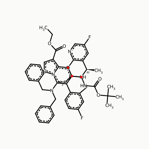 CCOC(=O)c1cnn2c(N(Cc3ccccc3)Cc3ccccc3)c(-c3ccc(F)cc3F)c(N[C@H](C)c3cc(F)cnc3OC(C)CNC(=O)OC(C)(C)C)nc12